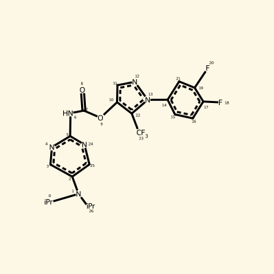 CC(C)N(c1cnc(NC(=O)Oc2cnn(-c3ccc(F)c(F)c3)c2C(F)(F)F)nc1)C(C)C